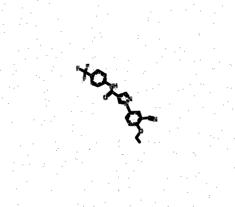 CCOc1ccc(-n2cc(C(=O)Nc3ccc(C(F)(F)F)cc3)cn2)cc1C#N